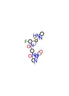 Cc1ccc(C(=O)Nc2ccc(C(=O)N3CCc4cc(-c5nc6ccccc6[nH]5)sc4-c4ccc(F)cc43)cc2)c(N2CC3(CCOCC3)C2)n1